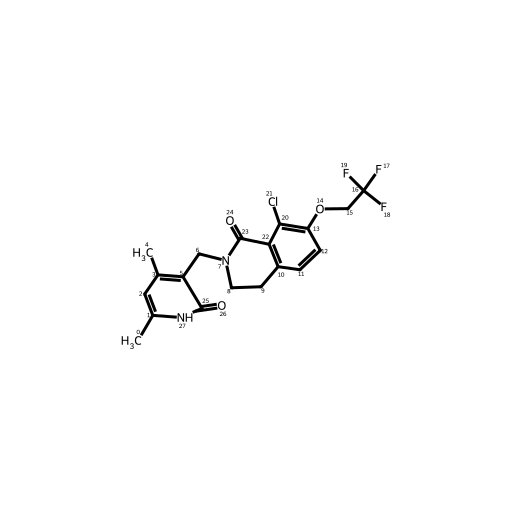 Cc1cc(C)c(CN2CCc3ccc(OCC(F)(F)F)c(Cl)c3C2=O)c(=O)[nH]1